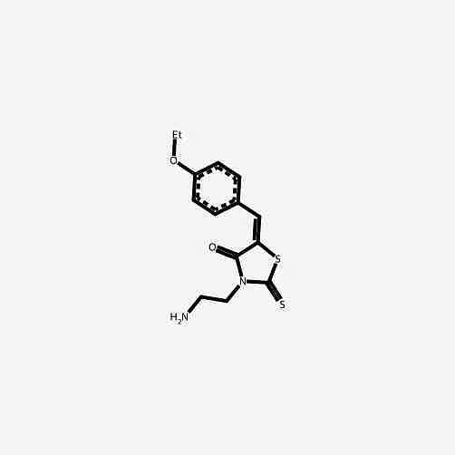 CCOc1ccc(/C=C2/SC(=S)N(CCN)C2=O)cc1